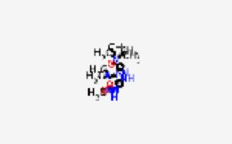 CCN(CC)CCCn1c(Nc2ccc(NC(=O)NOC)cc2)nc2ccc(C(=O)N(CCC(C)C)CCC(C)C)cc21